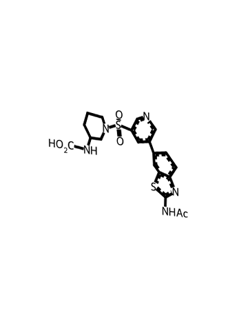 CC(=O)Nc1nc2ccc(-c3cncc(S(=O)(=O)N4CCCC(NC(=O)O)C4)c3)cc2s1